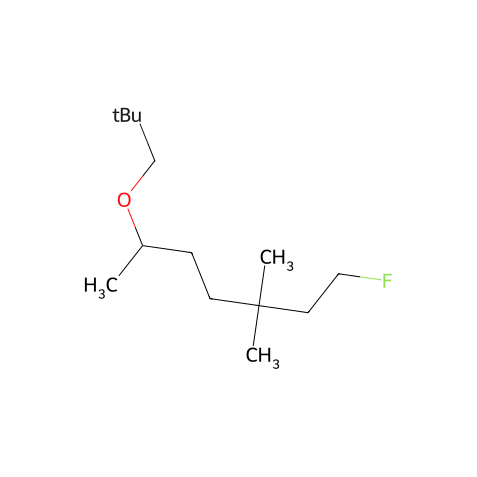 CC(CCC(C)(C)CCF)OCC(C)(C)C